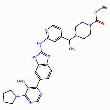 COc1c(-c2ccc3nc(Nc4cc(C(C)N5CCN(C(=O)OC(C)(C)C)CC5)ccn4)[nH]c3c2)ncnc1N1CCCC1